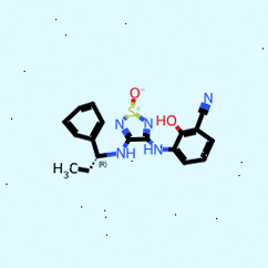 CC[C@@H](Nc1n[s+]([O-])nc1Nc1cccc(C#N)c1O)c1ccccc1